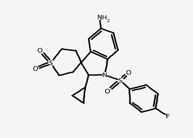 Nc1ccc2c(c1)C1(CCS(=O)(=O)CC1)C(C1CC1)N2S(=O)(=O)c1ccc(F)cc1